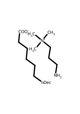 CCCCCCCCCCCCCCCC(=O)[O-].C[N+](C)(C)CCCN